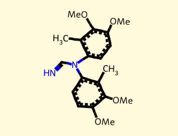 COc1ccc(N(C=N)c2ccc(OC)c(OC)c2C)c(C)c1OC